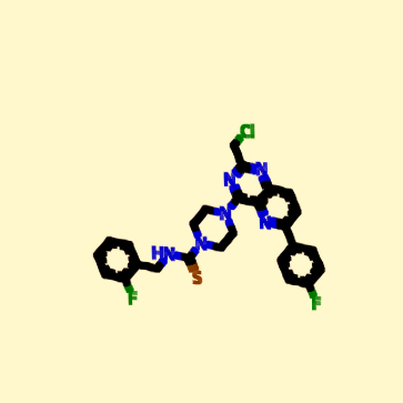 Fc1ccc(-c2ccc3nc(CCl)nc(N4CCN(C(=S)NCc5ccccc5F)CC4)c3n2)cc1